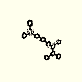 c1ccc(-c2cc(-c3ccccc3)cc(-c3cc(-c4ccccn4)nc(-c4ccc(-c5ccc(-c6ccc(-c7nc(-c8ccccc8)nc(-c8ccccc8)n7)cc6)cc5)cn4)c3)c2)cc1